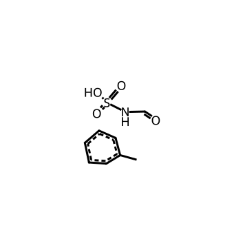 Cc1ccccc1.O=CNS(=O)(=O)O